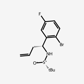 C=CC[C@@H](N[S@@+]([O-])C(C)(C)C)c1cc(F)ccc1Br